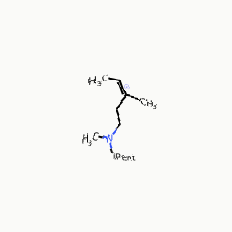 C/C=C(/C)CCN(C)C(C)CCC